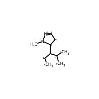 CCC(C(C)C)C1CC=NN1C